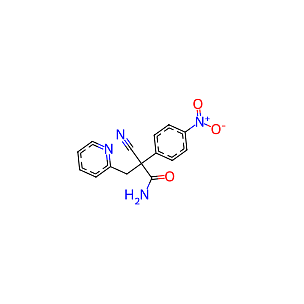 N#CC(Cc1ccccn1)(C(N)=O)c1ccc([N+](=O)[O-])cc1